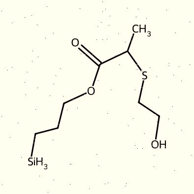 CC(SCCO)C(=O)OCCC[SiH3]